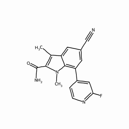 Cc1c(C(N)=O)n(C)c2c(-c3ccnc(F)c3)cc(C#N)cc12